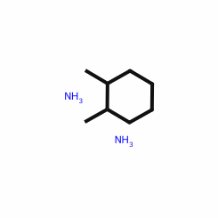 CC1CCCCC1C.N.N